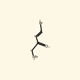 CCCCC(=O)C=CBr